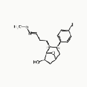 CON=CCC[C@@H]1C2OC(CC2O)C[C@@H]1c1ccc(I)cc1